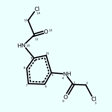 O=C(CCl)Nc1cccc(NC(=O)CCl)c1